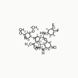 COc1cc(OC)c(-n2cc(C(=O)Nc3ccc(F)c(F)c3)c(C3C(=O)Nc4cc(Cl)ccc43)c2C(C)C)cn1